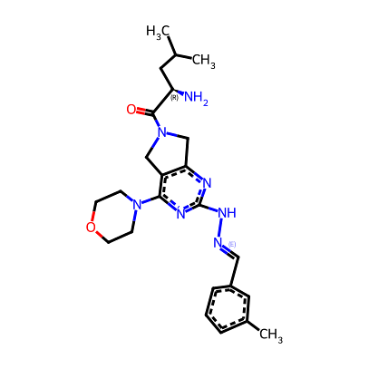 Cc1cccc(/C=N/Nc2nc3c(c(N4CCOCC4)n2)CN(C(=O)[C@H](N)CC(C)C)C3)c1